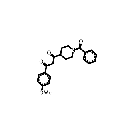 COc1ccc(C(=O)CC(=O)C2CCN(C(=O)c3ccccc3)CC2)cc1